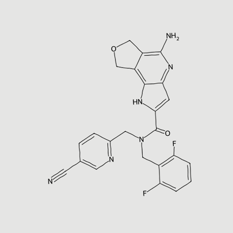 N#Cc1ccc(CN(Cc2c(F)cccc2F)C(=O)c2cc3nc(N)c4c(c3[nH]2)COC4)nc1